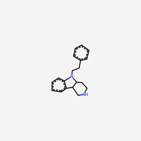 c1ccc(CCN2c3ccccc3C3CNCCC32)cc1